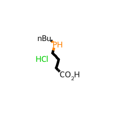 CCCCPCCCC(=O)O.Cl